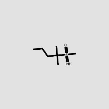 CCCC(C)(C)S(C)(=N)=O